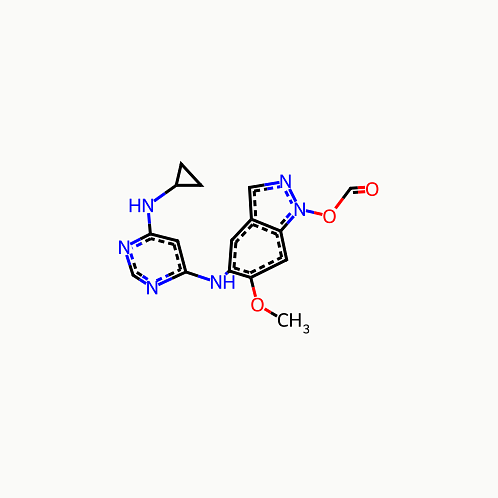 COc1cc2c(cnn2OC=O)cc1Nc1cc(NC2CC2)ncn1